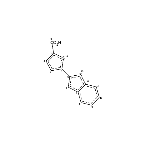 O=C(O)c1ccc(-c2cc3ccccc3s2)s1